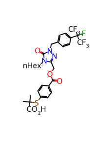 CCCCCCn1c(COC(=O)c2ccc(SC(C)(C)C(=O)O)cc2)nn(Cc2ccc(C(F)(C(F)(F)F)C(F)(F)F)cc2)c1=O